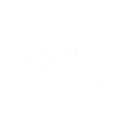 CCCCCCCCCCCCCCCC(C(=O)O)C(=O)/C=C(C)/C=C/C=C(C)/C=C/C1=C(C)CCCC1(C)C